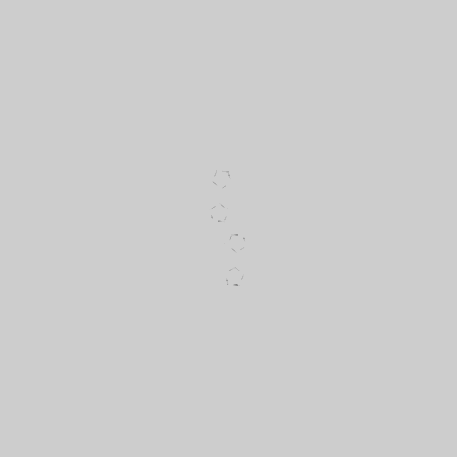 Cc1cc(-c2sc(-c3cc(C)c(-c4cc(C)c(C)s4)s3)cc2C)sc1C